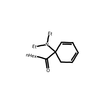 [CH2]CCCCCC(=O)C1(N(CC)CC)C=CC=CC1